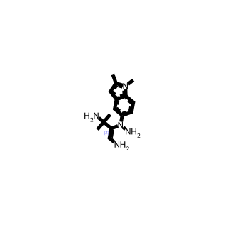 Cc1cc2cc(N(N)/C(=C\N)C(C)(C)N)ccc2n1C